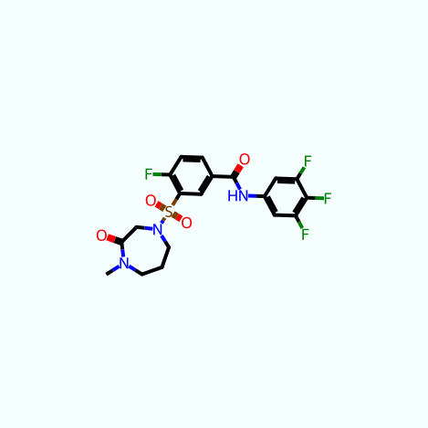 CN1CCCN(S(=O)(=O)c2cc(C(=O)Nc3cc(F)c(F)c(F)c3)ccc2F)CC1=O